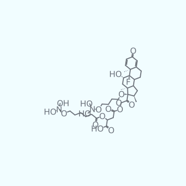 C[C@@H]1CC2C3CCC4=CC(=O)C=C[C@]4(C)[C@@]3(F)[C@@H](O)C[C@]2(C)[C@@]1(OC(=O)CCCON(O)O)C(=O)COC(=O)CC(OC(=O)CCCCCON(O)O)C(=O)O